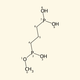 COP(O)CCCP(O)O